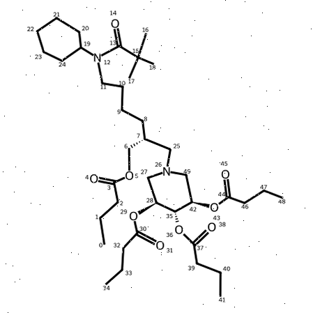 CCCC(=O)OC[C@H](CCCCN(C(=O)C(C)(C)C)C1CCCCC1)CN1C[C@H](OC(=O)CCC)[C@@H](OC(=O)CCC)[C@H](OC(=O)CCC)C1